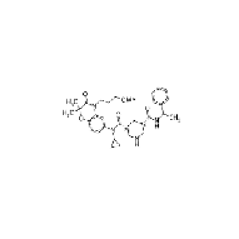 COCCCN1C(=O)C(C)(C)Oc2ccc(N(C(=O)[C@H]3CNC[C@@H](C(=O)NC(C)c4ccccc4)C3)C3CC3)cc21